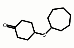 O=C1CCC(SC2CCCCCC2)CC1